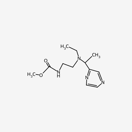 CCN(CCNC(=O)OC)C(C)c1cnccn1